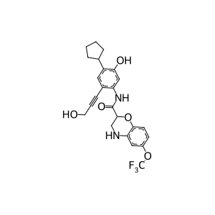 O=C(Nc1cc(O)c(C2CCCC2)cc1C#CCO)C1CNc2cc(OC(F)(F)F)ccc2O1